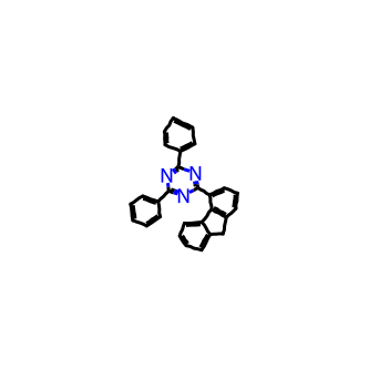 c1ccc(-c2nc(-c3ccccc3)nc(-c3cccc4c3-c3ccccc3C4)n2)cc1